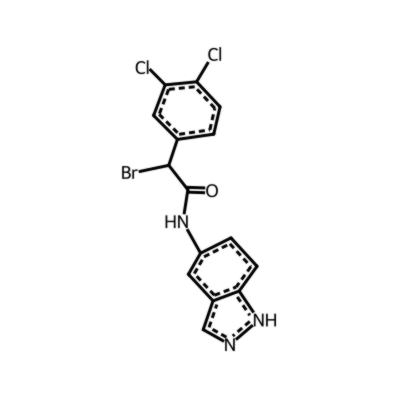 O=C(Nc1ccc2[nH]ncc2c1)C(Br)c1ccc(Cl)c(Cl)c1